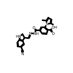 Cc1ccc(C)n1-c1cc(C(=O)N/N=C/C2CNc3ccc(C#N)cc32)ccc1C(=O)O